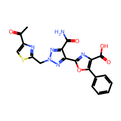 CC(=O)c1csc(Cn2nc(C(N)=O)c(-c3nc(C(=O)O)c(-c4ccccc4)o3)n2)n1